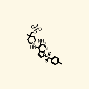 Cc1ccc(S(=O)(=O)n2ccc3c(NN4CCC(C)(COS(C)(=O)=O)CC4)c(N)cnc32)cc1